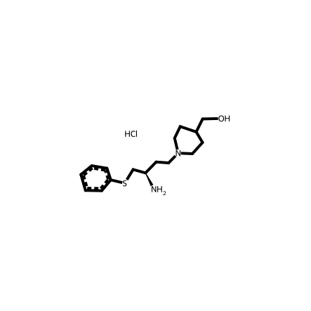 Cl.N[C@H](CCN1CCC(CO)CC1)CSc1ccccc1